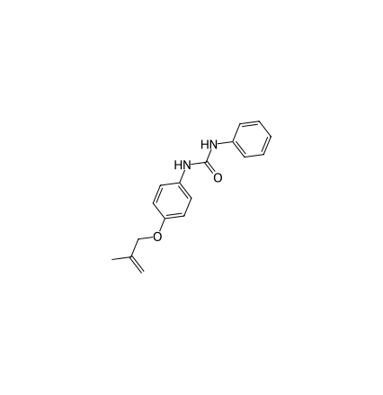 C=C(C)COc1ccc(NC(=O)Nc2ccccc2)cc1